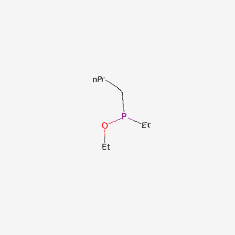 CCCCP(CC)OCC